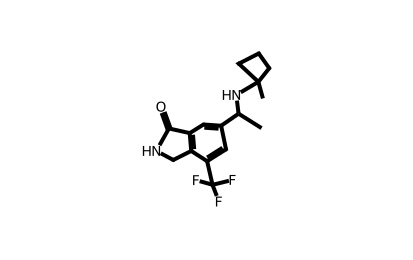 CC(NC1(C)CCC1)c1cc2c(c(C(F)(F)F)c1)CNC2=O